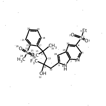 CCS(=O)(=O)c1cnc2[nH]c(CC(O)(CC(C)(C)c3ccccc3S(C)(=O)=O)C(F)(F)F)cc2c1